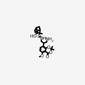 COc1ccc(C(CN)CBOC2(C)C(O)CC3CC2C3(C)C)c2c1C(=O)OC(C)(C)O2